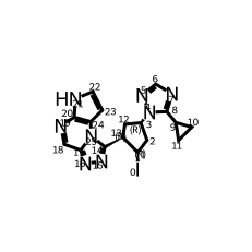 I[C@@H]1C[C@H](n2ncnc2C2CC2)C[C@@H]1c1nnc2cnc3[nH]ccc3n12